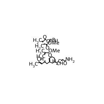 C=C(C)C(=O)OC.C=CC(=O)OC.C=CC(=O)OCCCC.C=CCN.CC(C)=CCCC1=CCCC(C=O)C1